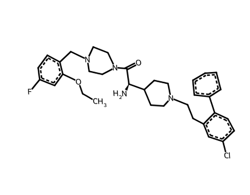 CCOc1cc(F)ccc1CN1CCN(C(=O)[C@H](N)C2CCN(CCc3cc(Cl)ccc3-c3ccccc3)CC2)CC1